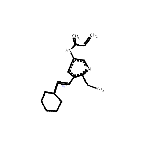 C=CC(=C)Nc1cnc(CC)c(/C=C/C2CCCCC2)c1